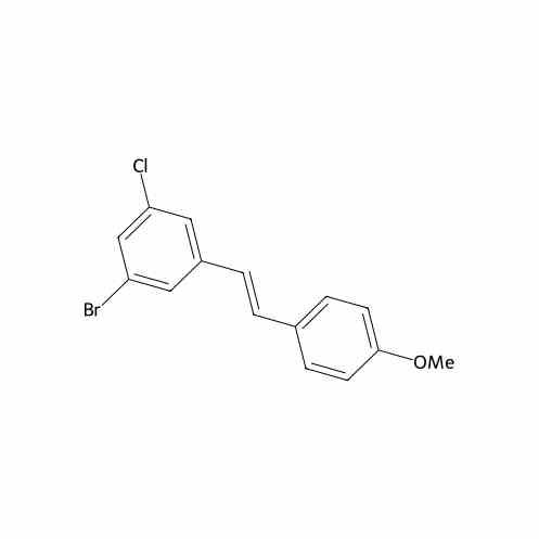 COc1ccc(/C=C/c2cc(Cl)cc(Br)c2)cc1